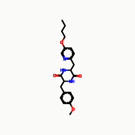 CCCCOc1ccc(CC2NC(=O)C(Cc3ccc(OC)cc3)NC2=O)nc1